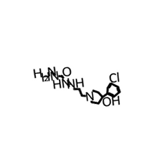 NNC(=O)NNCCCN1CCC(O)(c2cccc(Cl)c2)CC1